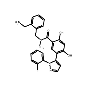 CN(Cc1ccccc1CN)C(=O)c1cc(-c2ccnn2-c2ccccc2F)c(O)cc1O